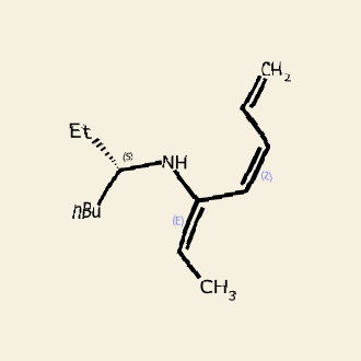 C=C/C=C\C(=C/C)N[C@@H](CC)CCCC